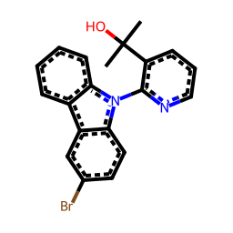 CC(C)(O)c1cccnc1-n1c2ccccc2c2cc(Br)ccc21